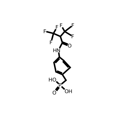 O=C(Nc1ccc(CP(=O)(O)O)cc1)C(C(F)(F)F)C(F)(F)F